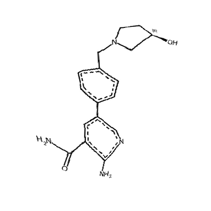 NC(=O)c1cc(-c2ccc(CN3CC[C@@H](O)C3)cc2)cnc1N